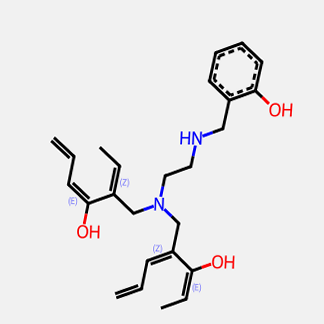 C=C/C=C(CN(CCNCc1ccccc1O)CC(=C/C)/C(O)=C\C=C)\C(O)=C/C